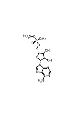 COP(=O)(OC[C@H]1O[C@@H](n2cnc3c(N)ncnc32)C(O)C1O)OS(=O)(=O)O